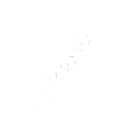 C/C(N)=C(\C)C(=N)C(=O)Nc1cnc2[nH]c(-c3cn(C4CCN(CC5CC5)CC4)nc3C)cc2c1